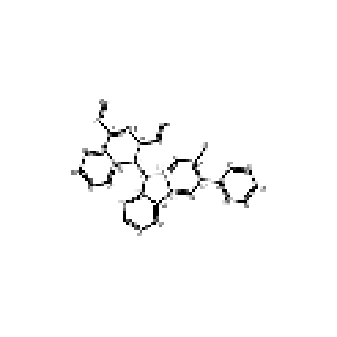 C=CC1=NC(C=C)C(C2c3ccccc3-c3cc(-c4ccccc4)c(C)c[n+]32)c2ccccc21